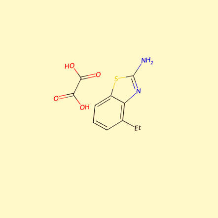 CCc1cccc2sc(N)nc12.O=C(O)C(=O)O